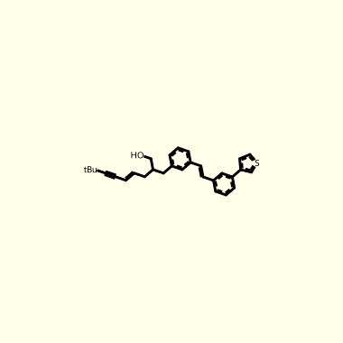 CC(C)(C)C#CC=CCC(CO)Cc1cccc(C=Cc2cccc(-c3ccsc3)c2)c1